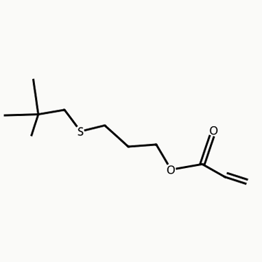 C=CC(=O)OCCCSCC(C)(C)C